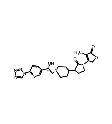 CC1=C(N2CCC(C3CCN(C[C@H](O)c4ccc(-n5cnnn5)nc4)CC3)C2=O)COC1=O